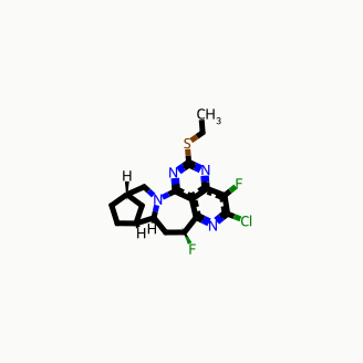 CCSc1nc2c3c(nc(Cl)c(F)c3n1)[C@@H](F)C[C@@H]1[C@@H]3CC[C@@H](C3)CN21